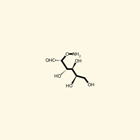 NO[C@@H](C=O)[C@@H](O)[C@@H](O)[C@H](O)CO